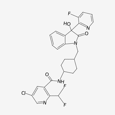 O=C(NC1CCC(CN2C(=O)C(O)(c3ncccc3F)c3ccccc32)CC1)c1cc(Cl)cnc1C(F)F